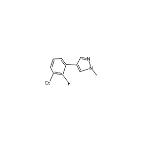 CCc1cccc(-c2cnn(C)c2)c1F